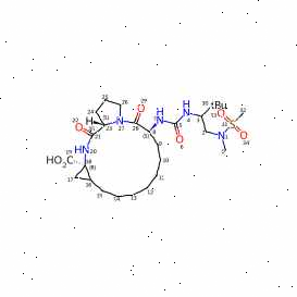 CN(CC(NC(=O)N[C@H]1CCCCCCCC2C[C@@]2(C(=O)O)NC(=O)[C@@H]2CCCN2C1=O)C(C)(C)C)S(C)(=O)=O